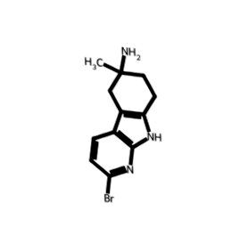 CC1(N)CCc2[nH]c3nc(Br)ccc3c2C1